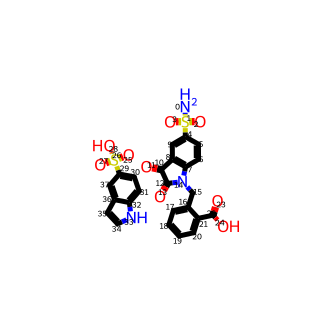 NS(=O)(=O)c1ccc2c(c1)C(=O)C(=O)N2Cc1ccccc1C(=O)O.O=S(=O)(O)c1ccc2[nH]ccc2c1